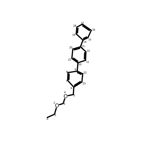 CCOCOCc1ccc(-c2ccc(-c3ccccc3)cc2)cc1